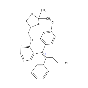 CC1(C)OCC(COc2ccccc2/C(=C(/CCCl)c2ccccc2)c2ccc(Cl)cc2)O1